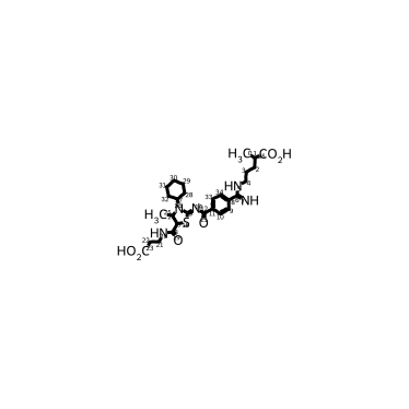 CC(CCCNC(=N)c1ccc(C(=O)N=C2SC(C(=O)NCCC(=O)O)C(C)N2C2CCCCC2)cc1)C(=O)O